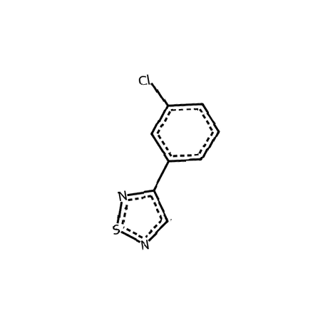 Clc1cccc(-c2[c]nsn2)c1